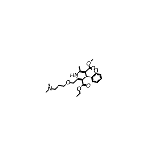 CCOC(=O)C1=C(COCCCN(C)C)NC(C)=C(C(=O)OC)C1c1ccccc1Cl